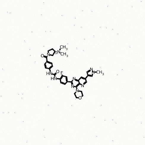 CN(C)[C@H]1CCN(C(=O)c2ccc(NC(=O)Nc3ccc(-c4nc(N5CCOCC5)c5ncc(-c6cnn(C)c6)cc5n4)cc3F)cc2)C1